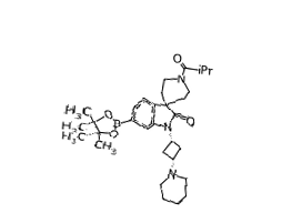 CC(C)C(=O)N1CCC2(CC1)C(=O)N([C@H]1C[C@@H](N3CCCCC3)C1)c1cc(B3OC(C)(C)C(C)(C)O3)ccc12